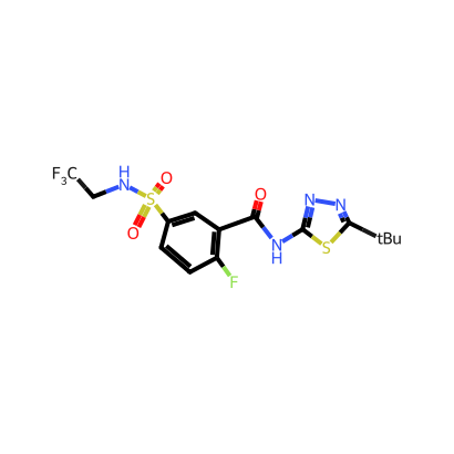 CC(C)(C)c1nnc(NC(=O)c2cc(S(=O)(=O)NCC(F)(F)F)ccc2F)s1